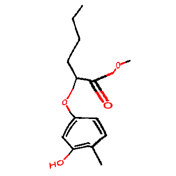 CCCCC(Oc1ccc(C)c(O)c1)C(=O)OC